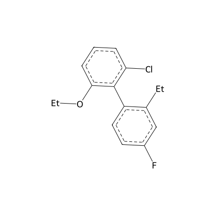 CCOc1cccc(Cl)c1-c1ccc(F)cc1CC